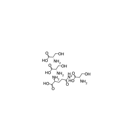 NC(=O)CC[C@H](N)C(=O)O.N[C@@H](CO)C(=O)O.N[C@@H](CO)C(=O)O.N[C@@H](CO)C(=O)O